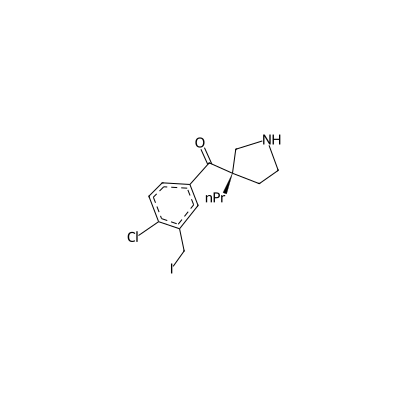 CCC[C@]1(C(=O)c2ccc(Cl)c(CI)c2)CCNC1